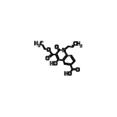 C=CCn1c(=O)c(C(=O)OCC)c(O)c2cc(C(=O)O)ccc21